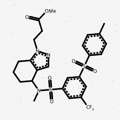 COC(=O)CCn1ncc2c1CCCC2N(C)S(=O)(=O)c1cc(C(F)(F)F)cc(S(=O)(=O)c2ccc(C)cc2)c1